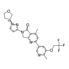 Cc1cc(-c2cnc(C)c(OCC(F)(F)F)c2)nc2c1C(=O)N(c1ccn([C@H]3CCOC3)n1)C2